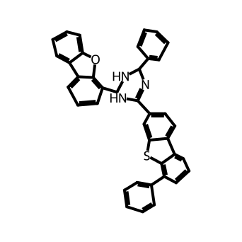 c1ccc(-c2cccc3c2sc2cc(C4=NC(c5ccccc5)NC(c5cccc6c5oc5ccccc56)N4)ccc23)cc1